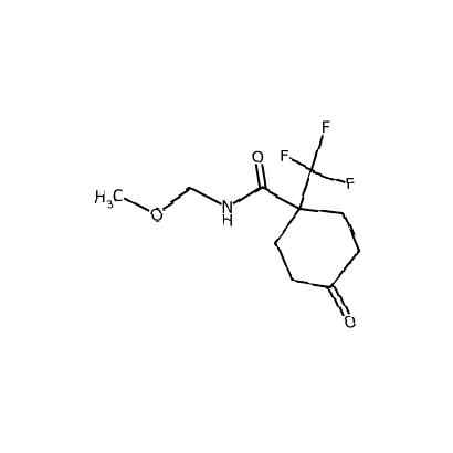 COCNC(=O)C1(C(F)(F)F)CCC(=O)CC1